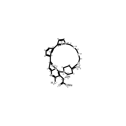 COC(=O)[C@@H](O)c1c(C)nc2cc3nn2c1N1CCC(C)(CC1)OCCCCCn1ccc(n1)-c1cccc-3c1